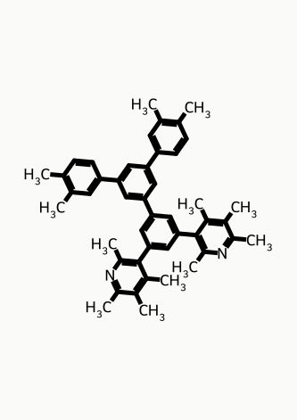 Cc1ccc(-c2cc(-c3cc(-c4c(C)nc(C)c(C)c4C)cc(-c4c(C)nc(C)c(C)c4C)c3)cc(-c3ccc(C)c(C)c3)c2)cc1C